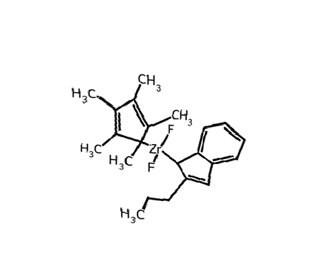 CCCC1=Cc2ccccc2[CH]1[Zr]([F])([F])[C]1(C)C(C)=C(C)C(C)=C1C